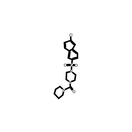 O=C(N1CCCCC1)N1CCN(S(=O)(=O)c2ccc3cc(Cl)ccc3c2)CC1